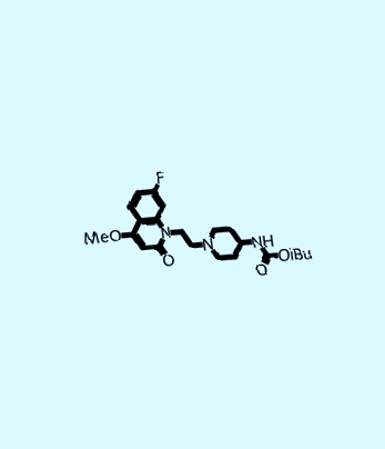 COc1cc(=O)n(CCN2CCC(NC(=O)OCC(C)C)CC2)c2cc(F)ccc12